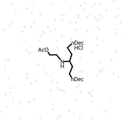 CCCCCCCCCCCCC(CCCCCCCCCCCC)NCCOC(C)=O.Cl